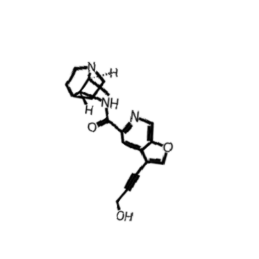 C[C@H]1[C@H](NC(=O)c2cc3c(C#CCO)coc3cn2)C2CCN1CC2